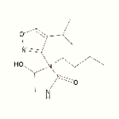 CCCC[N+]1(c2nocc2C(C)C)C(=O)NCC1O